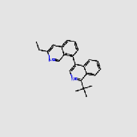 CCc1cc2cccc(-c3cnc(C(C)(C)C)c4ccccc34)c2cn1